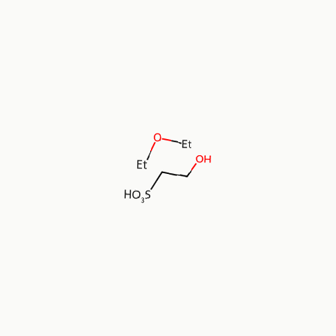 CCOCC.O=S(=O)(O)CCO